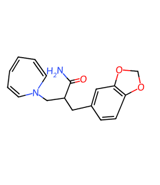 NC(=O)C(Cc1ccc2c(c1)OCO2)CN1C=CC=CC=C1